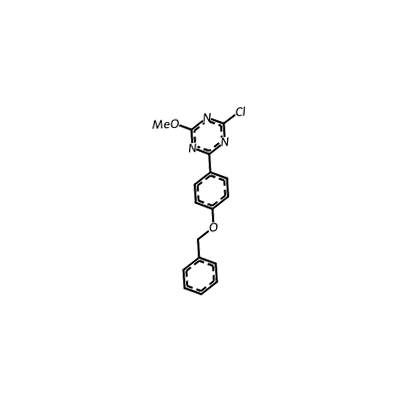 COc1nc(Cl)nc(-c2ccc(OCc3ccccc3)cc2)n1